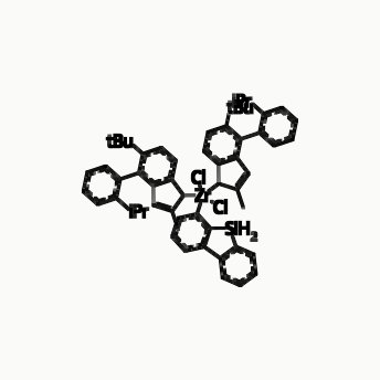 CC1=Cc2c(ccc(C(C)(C)C)c2-c2ccccc2C(C)C)[CH]1[Zr]([Cl])([Cl])([c]1cccc2c1[SiH2]c1ccccc1-2)[CH]1C(C)=Cc2c1ccc(C(C)(C)C)c2-c1ccccc1C(C)C